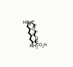 NCCCCCCN.O=C(O)COCCOCC(=O)O